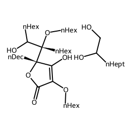 CCCCCCCC(O)CO.CCCCCCCCCC[C@]1([C@@](CCCCCC)(OCCCCCC)C(O)CCCCCC)OC(=O)C(OCCCCCC)=C1O